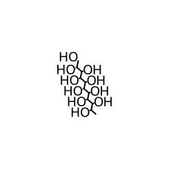 CC(O)C(O)C(O)C(O)[C@H](O)C(O)C(O)C(O)[C@H](O)CO